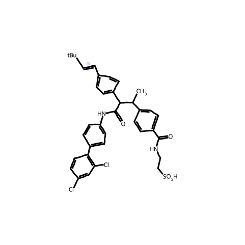 CC(c1ccc(C(=O)NCCS(=O)(=O)O)cc1)C(C(=O)Nc1ccc(-c2ccc(Cl)cc2Cl)cc1)c1ccc(/C=C/C(C)(C)C)cc1